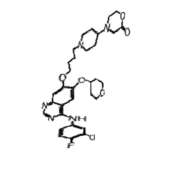 O=C1CN(C2CCN(CCCCOc3cc4ncnc(Nc5ccc(F)c(Cl)c5)c4cc3OC3CCOCC3)CC2)CCO1